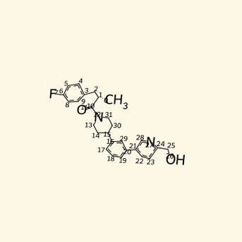 C[C@@H](Cc1ccc(F)cc1)C(=O)N1CCC(c2cccc(-c3ccc(CO)nc3)c2)CC1